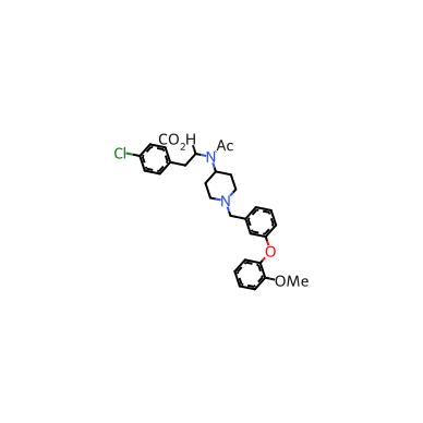 COc1ccccc1Oc1cccc(CN2CCC(N(C(C)=O)C(Cc3ccc(Cl)cc3)C(=O)O)CC2)c1